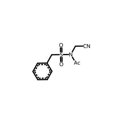 CC(=O)N(CC#N)S(=O)(=O)Cc1ccccc1